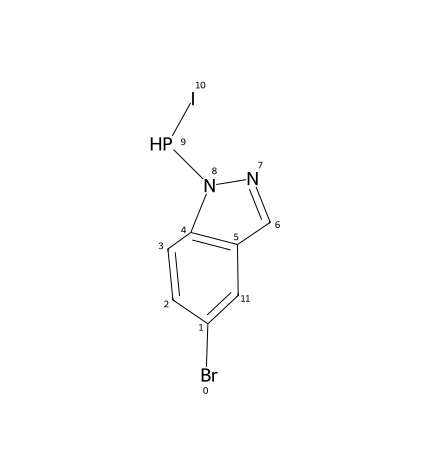 Brc1ccc2c(cnn2PI)c1